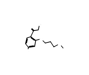 COCCCOc1cc(Br)ccc1C(=O)CBr